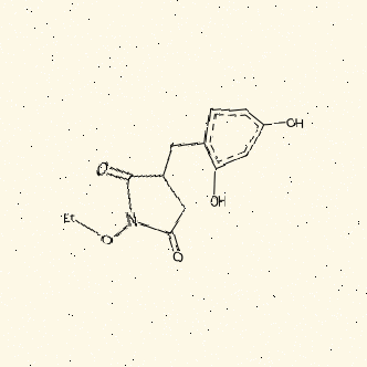 CCON1C(=O)CC(Cc2ccc(O)cc2O)C1=O